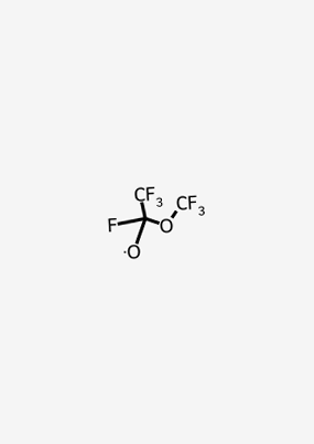 [O]C(F)(OC(F)(F)F)C(F)(F)F